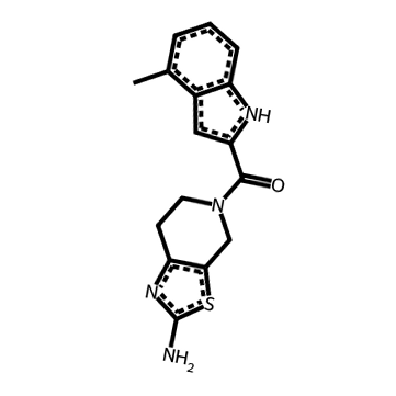 Cc1cccc2[nH]c(C(=O)N3CCc4nc(N)sc4C3)cc12